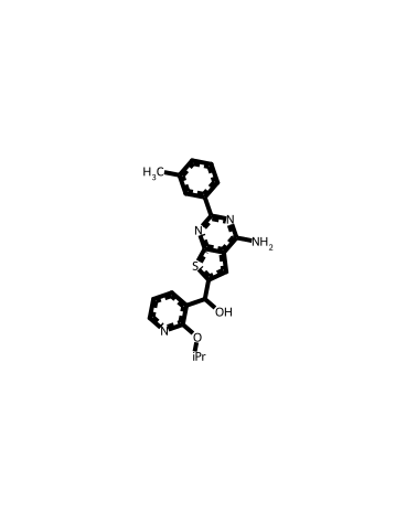 Cc1cccc(-c2nc(N)c3cc(C(O)c4cccnc4OC(C)C)sc3n2)c1